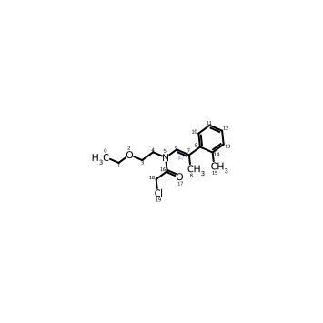 CCOCCN(/C=C(\C)c1ccccc1C)C(=O)CCl